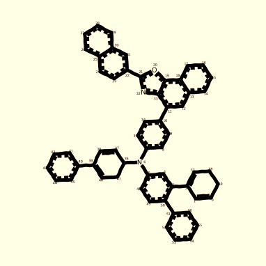 C1=CC(c2cc(N(c3ccc(-c4cc5ccccc5c5oc(-c6ccc7ccccc7c6)nc45)cc3)C3C=CC(c4ccccc4)=CC3)ccc2-c2ccccc2)=CCC1